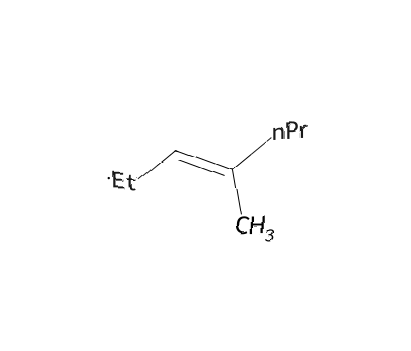 C[CH]C=C(C)CCC